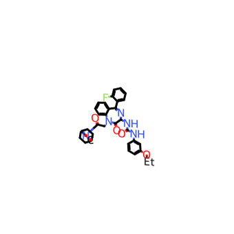 CCOc1cccc(NC(=O)NC2N=C(c3ccccc3F)c3ccccc3N(CC(=O)N3CC4CCC(CC4)C3)C2=O)c1